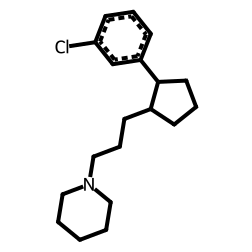 Clc1cccc(C2CCCC2CCCN2CCCCC2)c1